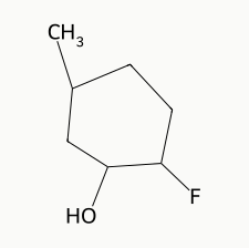 CC1CCC(F)C(O)C1